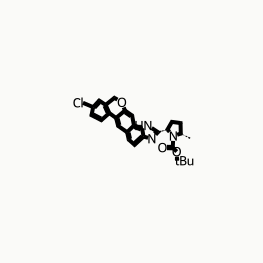 C[C@H]1CC[C@@H](c2nc3ccc4cc5c(cc4c3[nH]2)OCc2cc(Cl)ccc2-5)N1C(=O)OC(C)(C)C